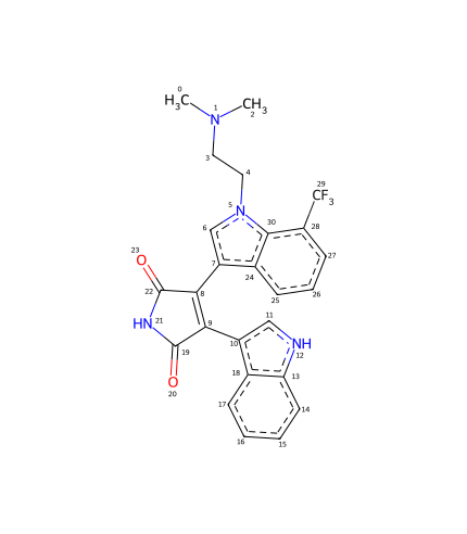 CN(C)CCn1cc(C2=C(c3c[nH]c4ccccc34)C(=O)NC2=O)c2cccc(C(F)(F)F)c21